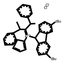 CC([C](C(C)c1ccccc1)=[Zr+2]([C]1=CC=CC1)[CH]1c2ccc(C(C)(C)C)cc2-c2cc(C(C)(C)C)ccc21)c1ccccc1.[Cl-].[Cl-]